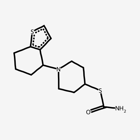 NC(=O)SC1CCN(C2CCCc3sccc32)CC1